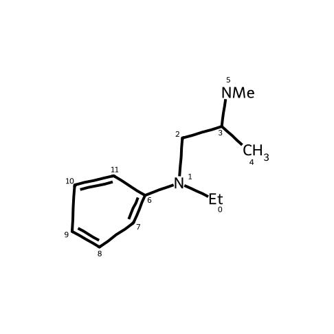 CCN(CC(C)NC)c1ccccc1